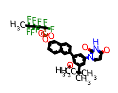 COc1c(-c2ccc3cc(OS(=O)(=O)C(F)(F)C(F)(F)C(F)(F)C(C)(F)F)ccc3c2)cc(-n2ccc(=O)[nH]c2=O)cc1C(C)(C)C